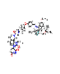 COc1ccc([C@]2(CCN(Cc3ccc(OC4CC5(CCN(CC(=O)N6CCc7ccc8c(c7C6)n(C)c(=O)n8C6CCC(=O)NC6=O)CC5)C4)cc3)CC(C)(C)C(F)(F)F)CCOC(C)(C)C2)cc1